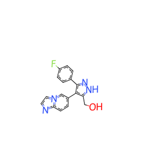 OCc1[nH]nc(-c2ccc(F)cc2)c1-c1ccc2nccn2c1